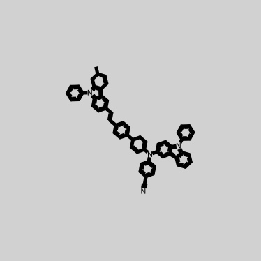 CC1C=Cc2c(n(-c3ccccc3)c3ccc(/C=C/c4ccc(C5C=CC(N(c6ccc(C#N)cc6)c6ccc7c(c6)c6ccccc6n7-c6ccccc6)=CC5)cc4)cc23)C1